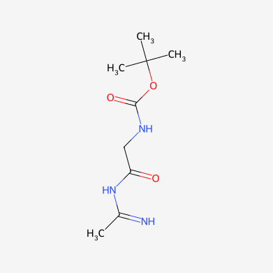 CC(=N)NC(=O)CNC(=O)OC(C)(C)C